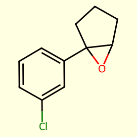 Clc1cccc(C23CCCC2O3)c1